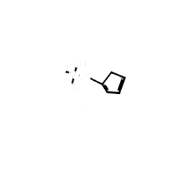 [CH3][Sn]([CH3])([CH3])[Zr+2][C]1=CC=CC1.[H-].[H-]